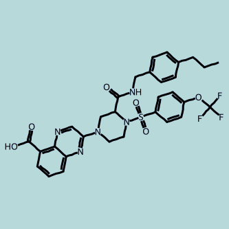 CCCc1ccc(CNC(=O)C2CN(c3cnc4c(C(=O)O)cccc4n3)CCN2S(=O)(=O)c2ccc(OC(F)(F)F)cc2)cc1